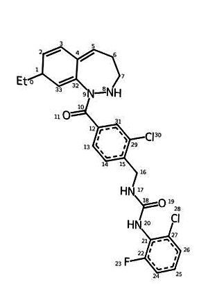 CCC1C=CC2=CCCNN(C(=O)c3ccc(CNC(=O)Nc4c(F)cccc4Cl)c(Cl)c3)C2=C1